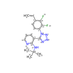 C=Cc1ccc(-n2nnnc2-c2cccnc2NC(C)(C)C)c(F)c1F